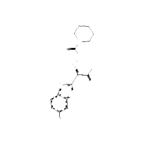 CC(C)(C)C(=O)/C(=N\OC(=O)N1CCCCC1)c1nc2ccc(Cl)cc2o1